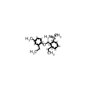 CCc1cc(C)ccc1OCc1c(CC)cccc1N(C)N